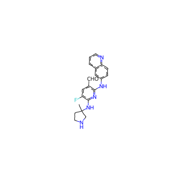 CC1(Nc2nc(Nc3ccc4ncccc4c3)c(C=O)cc2F)CCNC1